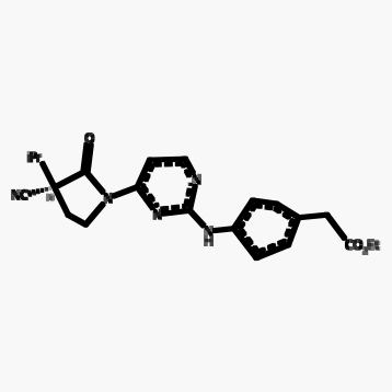 CCOC(=O)Cc1ccc(Nc2nccc(N3CC[C@@](C#N)(C(C)C)C3=O)n2)cc1